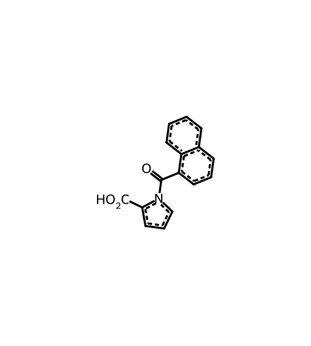 O=C(O)c1cccn1C(=O)c1cccc2ccccc12